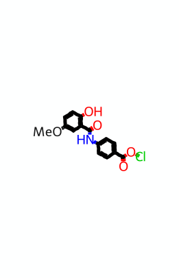 COc1ccc(O)c(C(=O)Nc2ccc(C(=O)OCl)cc2)c1